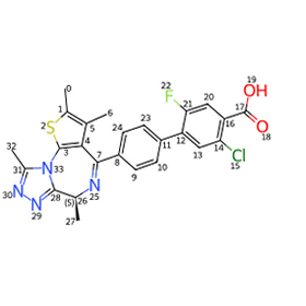 Cc1sc2c(c1C)C(c1ccc(-c3cc(Cl)c(C(=O)O)cc3F)cc1)=N[C@@H](C)c1nnc(C)n1-2